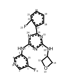 Fc1cncc(Nc2nc(NC3COC3)nc(-c3ccccc3F)n2)c1